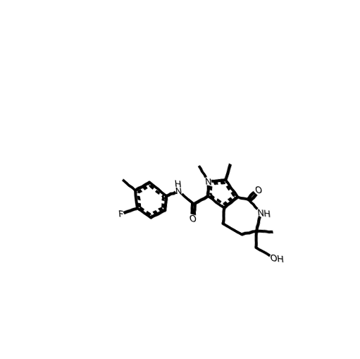 Cc1cc(NC(=O)c2c3c(c(C)n2C)C(=O)NC(C)(CO)CC3)ccc1F